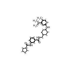 Cc1cnc(NC2CCC(CNC(=O)c3cccc(NC(=O)C4CCCC4)c3)CC2)nc1N(C)C